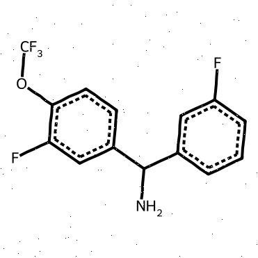 NC(c1cccc(F)c1)c1ccc(OC(F)(F)F)c(F)c1